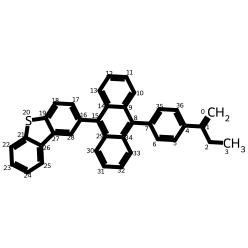 C=C(CC)c1ccc(-c2c3ccccc3c(-c3ccc4sc5ccccc5c4c3)c3ccccc23)cc1